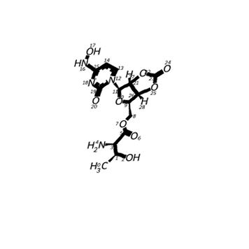 C[C@H](O)[C@@H](N)C(=O)OC[C@H]1O[C@@H](n2ccc(NO)nc2=O)[C@@H]2OC(=O)O[C@@H]21